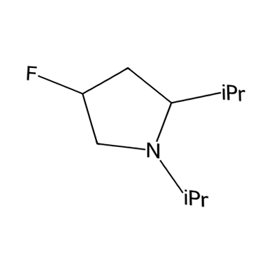 CC(C)C1CC(F)CN1C(C)C